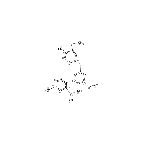 CCc1cc(Cc2ccc(NC(C)c3cccc(O)c3)c(CC)c2)ccc1N